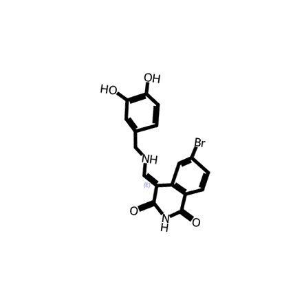 O=C1NC(=O)c2ccc(Br)cc2/C1=C\NCc1ccc(O)c(O)c1